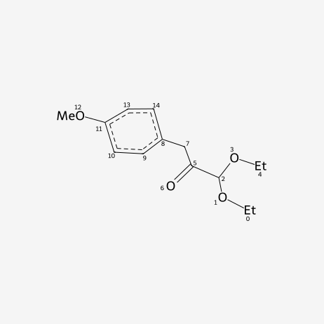 CCOC(OCC)C(=O)Cc1ccc(OC)cc1